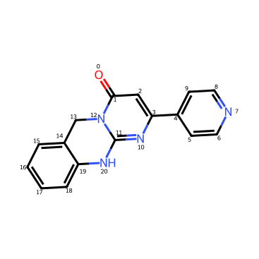 O=c1cc(-c2ccncc2)nc2n1Cc1ccccc1N2